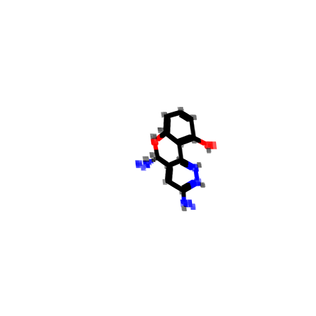 Nc1cc2c(nn1)-c1c(O)cccc1O[C@H]2N